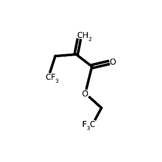 C=C(CC(F)(F)F)C(=O)OCC(F)(F)F